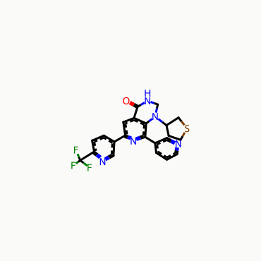 O=C1NCN(C2CCSC2)c2c1cc(-c1ccc(C(F)(F)F)nc1)nc2-c1cccnc1